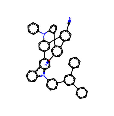 N#Cc1ccc2c(c1)C1(c3cc(C#N)ccc3-2)c2ccccc2N(c2ccccc2)c2ccc(-c3ccc4c(c3)c3ccccc3n4-c3cccc(-c4cc(-c5ccccc5)cc(-c5ccccc5)c4)c3)cc21